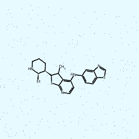 CC[C@H]1NCCC[C@H]1C1Sc2nccc(Nc3ccc4scnc4c3)c2C1C